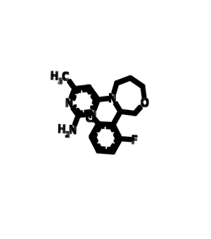 Cc1cc(N2CCCOCC2c2c(F)cccc2Cl)nc(N)n1